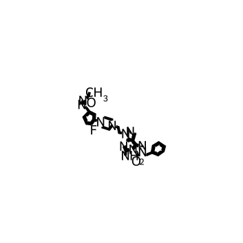 Cc1nnc(-c2ccc(F)c(N3CCN(CCn4ncc5c4nc(N)n4c(=O)n(Cc6ccccc6)nc54)CC3)c2)o1